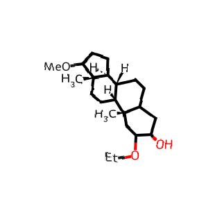 CCOC1C[C@@]2(C)C(CC[C@@H]3[C@H]2CC[C@]2(C)C(OC)CC[C@@H]32)CC1O